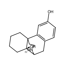 Oc1ccc2c(c1)C13CCCC[C@@]1(O)C(C2)NCC3